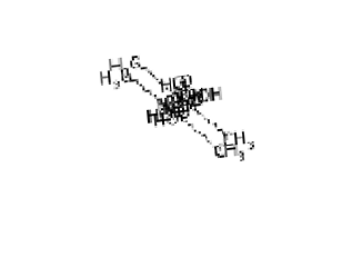 CCCCCCCCCCCCCC(=O)C(O)C(O)C(O)C(=O)CCCCCCCCCCCCC.CCCCCCCCCCCCCC(=O)C(O)C(O)C(O)C(=O)CCCCCCCCCCCCC.O=C(O)CCCCC(=O)O